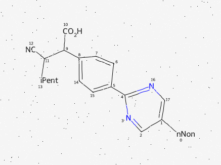 CCCCCCCCCc1cnc(-c2ccc(C(C(=O)O)C(C#N)C(C)CCC)cc2)nc1